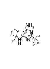 CCC(C)(CC)Nc1nc(N)nc(C(C)(C)C)n1